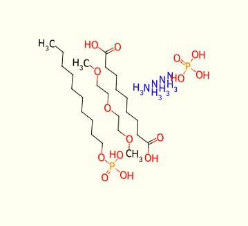 CCCCCCCCCCOP(=O)(O)O.COCCOCCOC.N.N.N.N.O=C(O)CCCCCCCC(=O)O.O=P(O)(O)O